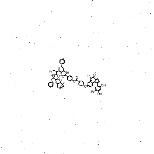 CCNC(=O)c1nnc(-c2cc(C(C)C)c(O)cc2O)n1-c1ccc(OC2CCN(C(=O)Oc3ccc(C(=O)NC(CCc4ccccc4)C(=O)NC(CC(C)C)C(=O)NC(Cc4ccccc4)C(=O)NC(CC(C)C)C(=O)C4(C)CO4)cc3)CC2)cc1